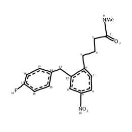 CNC(=O)CCCc1ccc([N+](=O)[O-])cc1Cc1ccc(F)cc1